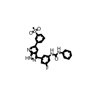 CS(=O)(=O)c1cccc(-c2cnc3[nH]nc(-c4cc(F)cc(NC(=O)Nc5ccccc5)c4)c3c2)c1